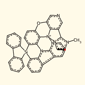 Cn1c2[n+](c3ccccc31)[N+]13c4c(cncc4-2)Oc2ccc4c(c21)-n1c2c(cccc2c2ccc[n+]3c21)[Si]41c2ccccc2-c2ccccc21